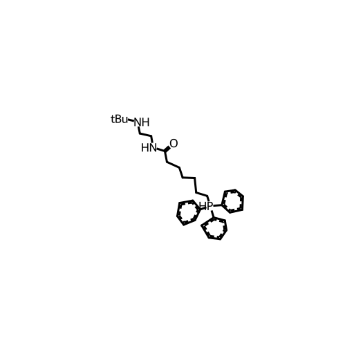 CC(C)(C)NCCNC(=O)CCCCCC[PH](c1ccccc1)(c1ccccc1)c1ccccc1